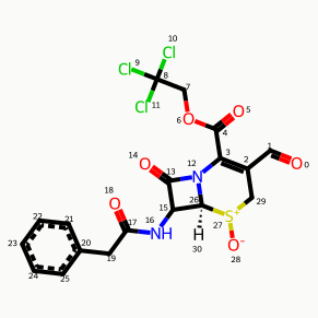 O=CC1=C(C(=O)OCC(Cl)(Cl)Cl)N2C(=O)C(NC(=O)Cc3ccccc3)[C@@H]2[S+]([O-])C1